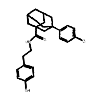 O=C(NCCc1ccc(O)cc1)C12CC3CC(C1)CC(c1ccc(Cl)cc1)(C3)C2